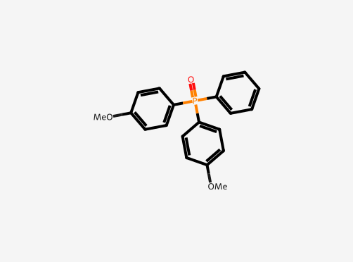 COc1ccc(P(=O)(c2ccccc2)c2ccc(OC)cc2)cc1